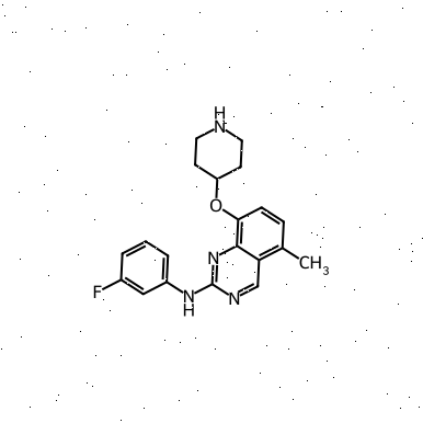 Cc1ccc(OC2CCNCC2)c2nc(Nc3cccc(F)c3)ncc12